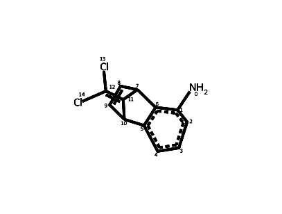 Nc1cccc2c1C1C=CC2C1=C(Cl)Cl